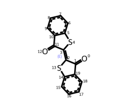 O=C1/C(=C2\Sc3ccccc3C2=O)Sc2ccccc21